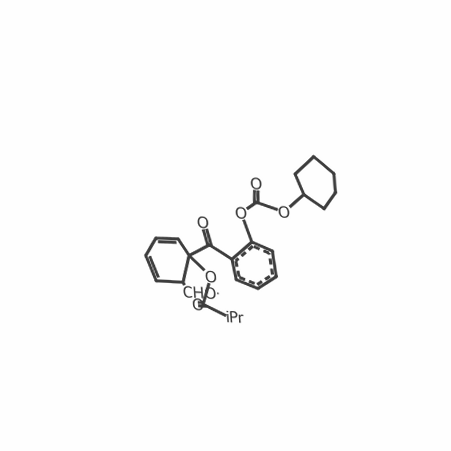 CC(C)C(=O)OC1(C(=O)c2ccccc2OC(=O)OC2CCCCC2)C=CC=CC1[C]=O